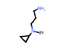 CC(C)N(CCCN)C1CC1